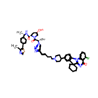 Cc1ncsc1-c1ccc([C@H](C)NC(=O)[C@@H]2C[C@@H](O)CN2C(=O)[C@@H](n2cc(CCCCCN3CCC(c4ccc5c(c4)C4(CCCCC4)c4nc(=O)c6c(Br)cccc6n4-5)CC3)nn2)C(C)(C)C)cc1